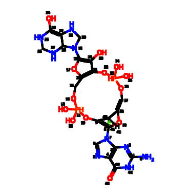 Nc1nc2c(ncn2C2=C3O[PH](O)(O)OCc4oc(N5CNC6=C(O)NCNC65)c(O)c4O[PH](O)(O)O/C=C(/O2)[C@H]3F)c(=O)[nH]1